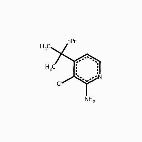 CCCC(C)(C)c1ccnc(N)c1Cl